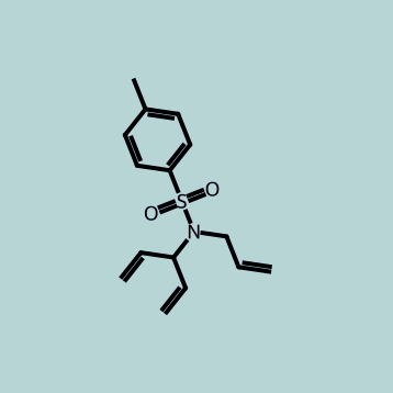 C=CCN(C(C=C)C=C)S(=O)(=O)c1ccc(C)cc1